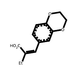 CCC(=Cc1ccc2c(c1)OCCO2)C(=O)O